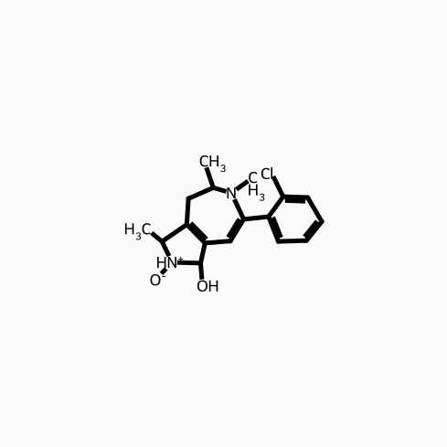 CC1CC2=C(C=C(c3ccccc3Cl)N1C)C(O)[NH+]([O-])C2C